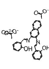 CC(=O)[O-].CC(=O)[O-].Oc1ccccc1C=Nc1cc2ccccc2cc1N=Cc1ccccc1O.[Co+2]